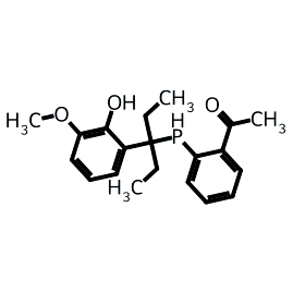 CCC(CC)(Pc1ccccc1C(C)=O)c1cccc(OC)c1O